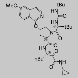 CCCC[C@H](NC(=O)[C@@H]1CC(Oc2nccc3cc(OC)ccc23)CN1C(=O)[C@@H](NC(=O)NC(C)(C)C)C(C)(C)C)C(=O)C(=O)NC1CC1